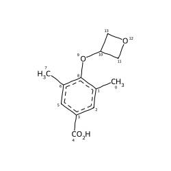 Cc1cc(C(=O)O)cc(C)c1OC1COC1